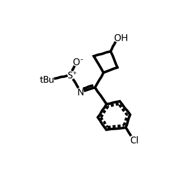 CC(C)(C)[S+]([O-])N=C(c1ccc(Cl)cc1)C1CC(O)C1